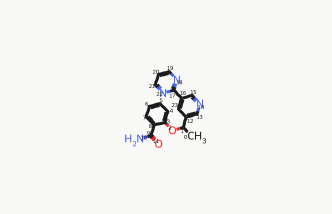 CC(Oc1ccccc1C(N)=O)c1cncc(-c2ncccn2)c1